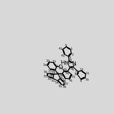 c1ccc(-c2nc(-c3ccccc3)c(-c3cccc4c3Oc3ccccc3C43c4ccccc4-c4ccccc43)[nH]2)cc1